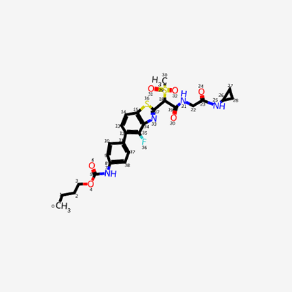 CCCCOC(=O)Nc1ccc(-c2ccc3sc(C(C(=O)NCC(=O)NC4CC4)S(C)(=O)=O)nc3c2F)cc1